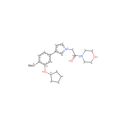 COc1ccc(-c2ccn(CC(=O)N3CCOCC3)c2)cc1OC1CCCC1